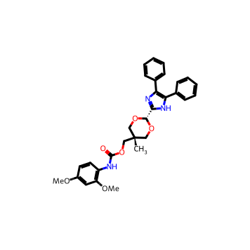 COc1ccc(NC(=O)OC[C@]2(C)CO[C@H](c3nc(-c4ccccc4)c(-c4ccccc4)[nH]3)OC2)c(OC)c1